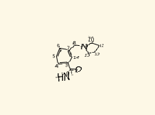 [NH]C(=O)c1cccc(CN2CCCC2)c1